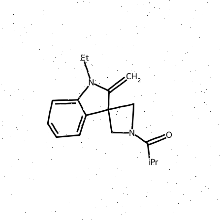 C=C1N(CC)c2ccccc2C12CN(C(=O)C(C)C)C2